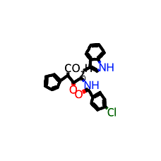 O=C(N[C@@H](Cc1c[nH]c2ccccc12)C(=O)C(C(=O)O)c1ccccc1)c1ccc(Cl)cc1